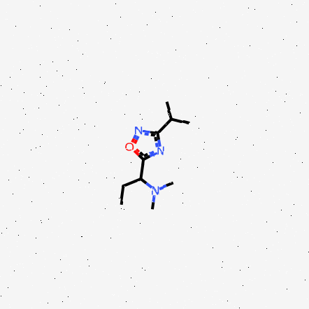 CCC(c1nc(C(C)C)no1)N(C)C